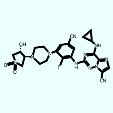 N#Cc1cc(Nc2nc(NC3CC3)c3ncc(C#N)n3n2)c(F)c(N2CCN([C@H]3CS(=O)(=O)C[C@@H]3O)CC2)c1